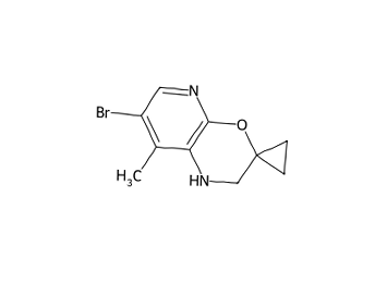 Cc1c(Br)cnc2c1NCC1(CC1)O2